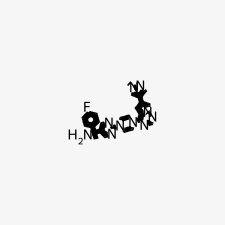 Cn1cc(-c2cc3c(N4CCN(c5ncc(C(C)(N)c6ccc(F)cc6)cn5)CC4)ncnn3c2)cn1